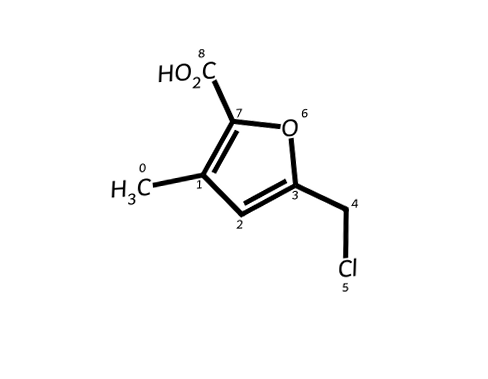 Cc1cc(CCl)oc1C(=O)O